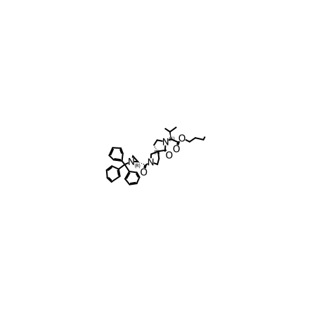 CCCCOC(=O)[C@H](C(C)C)N1CC[C@@]2(CCN(C(=O)[C@H]3CN3C(c3ccccc3)(c3ccccc3)c3ccccc3)C2)C1=O